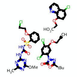 C#CCOc1cc(-n2nc(C(C)(C)C)oc2=O)c(Cl)cc1Cl.COc1nc(C)nc(NC(=O)NS(=O)(=O)c2ccccc2OCCCl)n1.O=C(O)COc1ccc(Cl)c2cccnc12